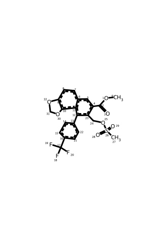 COC(=O)c1cc2ccc3c(c2c(-c2ccc(C(F)(F)F)cc2)c1COS(C)(=O)=O)OCO3